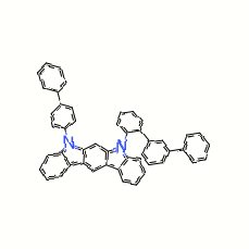 c1ccc(-c2ccc(-n3c4ccccc4c4cc5c6ccccc6n(-c6ccccc6-c6cccc(-c7ccccc7)c6)c5cc43)cc2)cc1